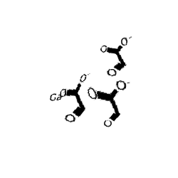 O=CC(=O)[O-].O=CC(=O)[O-].O=CC(=O)[O-].[Ga+3]